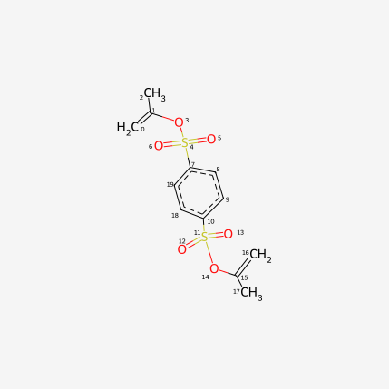 C=C(C)OS(=O)(=O)c1ccc(S(=O)(=O)OC(=C)C)cc1